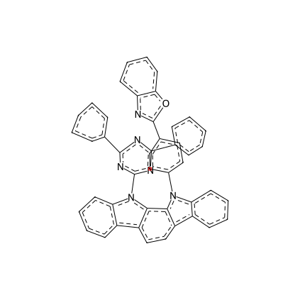 c1ccc(-c2nc(-c3ccccc3)nc(-n3c4ccccc4c4ccc5c6ccccc6n(-c6ccc(-c7nc8ccccc8o7)cc6)c5c43)n2)cc1